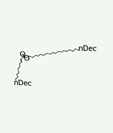 CCCCCCCCCCCCCCCCCC=CC(=O)OCCCCCCCCCCCCCCCCCCCCCCCCCCCC